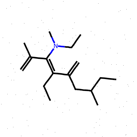 C=C(CC(C)CC)/C(CC)=C(/C(=C)C)N(C)CC